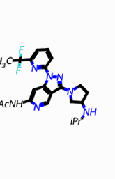 CC(=O)Nc1cc2c(cn1)c(N1CCC(NC(C)C)C1)nn2-c1cccc(C(C)(F)F)n1